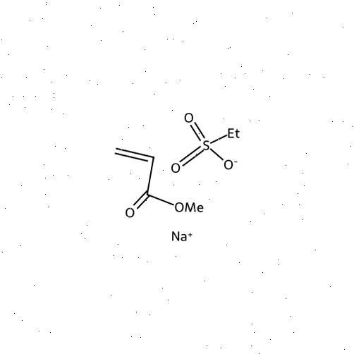 C=CC(=O)OC.CCS(=O)(=O)[O-].[Na+]